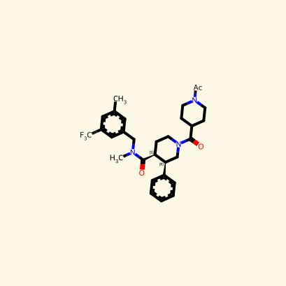 CC(=O)N1CCC(C(=O)N2CC[C@H](C(=O)N(C)Cc3cc(C)cc(C(F)(F)F)c3)[C@H](c3ccccc3)C2)CC1